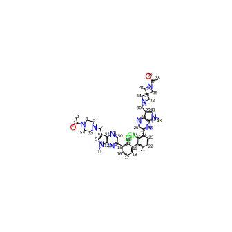 CC(=O)N1CCN(Cc2cn(C)c3nc(-c4cccc(-c5cccc(-c6cnc7c(CN8CC9(C8)CN(C(C)=O)C9)cn(C)c7n6)c5Cl)c4Cl)cnc23)CC1